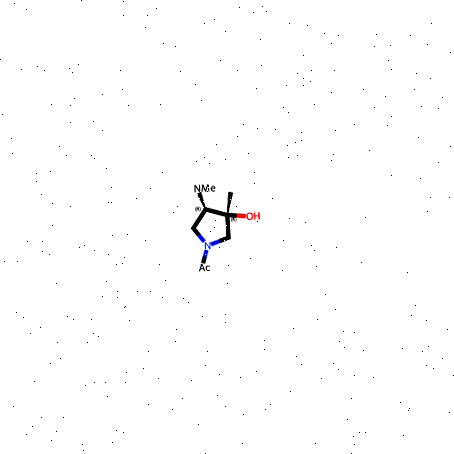 CN[C@@H]1CN(C(C)=O)C[C@@]1(C)O